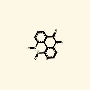 O=Nc1cccc2c1-c1c(N=O)cccc1C(=O)C2=O